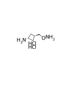 Cl.Cl.NOC[C@H]1C[C@H](N)C1